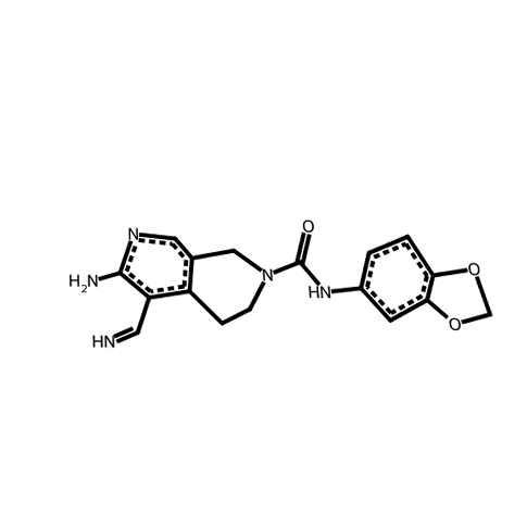 N=Cc1c(N)ncc2c1CCN(C(=O)Nc1ccc3c(c1)OCO3)C2